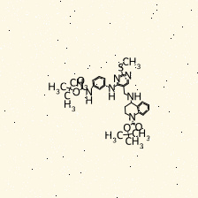 CSc1ncc(CNC2CCN(C(=O)OC(C)(C)C)c3ccccc32)c(Nc2cccc(NC(=O)OC(C)(C)C)c2)n1